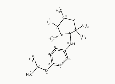 [CH2][C@@H]1C(C)[C@H](C)CC(C)(C)C1Nc1ccc(OC(C)C)cc1